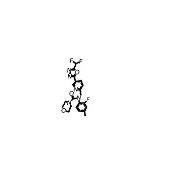 Cc1ccc(N(Cc2ccc(-c3nnc(C(F)F)o3)cn2)C(=O)N2CCOCC2)c(F)c1